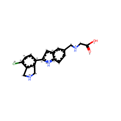 O=C(O)CNCc1ccc2[nH]c(-c3ccc(Cl)c4c3CNC4)cc2c1